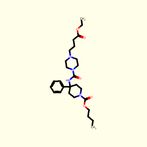 CCCCOC(=O)N1CCC(NC(=O)N2CCN(CCCC(=O)OCC)CC2)(c2ccccc2)CC1